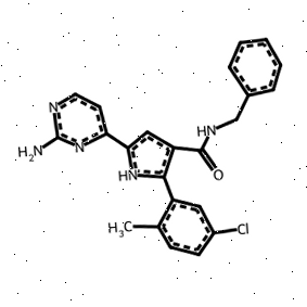 Cc1ccc(Cl)cc1-c1[nH]c(-c2ccnc(N)n2)cc1C(=O)NCc1ccccc1